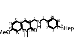 CCCCCCCc1ccc(CNCc2cc3ccc(OC)cc3[nH]c2=O)cc1